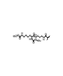 C=C(C)C(=O)NCCCNC(=O)C(CCCCNC(=O)OC(C)(C)C)NC(=O)OC(C)(C)C